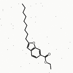 CCCCCCCCCc1cc2ccc(C(=O)OCC)cc2o1